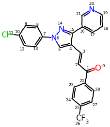 O=C(C=Cc1cn(-c2ccc(Cl)cc2)nc1-c1cccnc1)c1ccc(C(F)(F)F)cc1